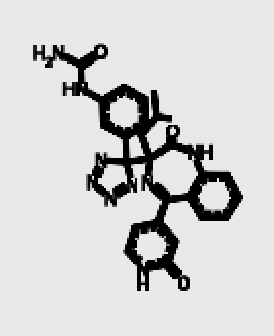 CC(C)CC1(C2(c3cccc(NC(N)=O)c3)N=NN=N2)N=C(c2cc[nH]c(=O)c2)c2ccccc2NC1=O